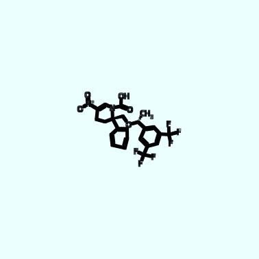 C[C@@H](OC[C@@]1(c2ccccc2)CCC([N+](=O)[O-])=CN1C(=O)O)c1cc(C(F)(F)F)cc(C(F)(F)F)c1